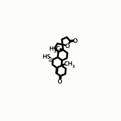 CC12CCC(=O)C=C1C[C@H](S)C1C2CCC2(C)C1CCC21CCC(=O)O1